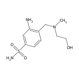 CN(CCO)Cc1ccc(S(N)(=O)=O)cc1N